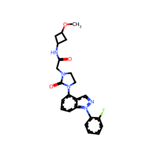 COC1CC(NC(=O)CN2CCN(c3cccc4c3cnn4-c3ccccc3F)C2=O)C1